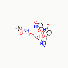 CC(C)(C)OC(=O)NCCOCCOCCn1nncc1CC(O)c1cccc2c1C(=O)N(C1CCC(=O)NC1=O)C2=O